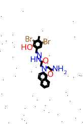 Cc1c(Br)cc(/C=N/NC(=O)CN(CC(N)=O)c2ccc3ccccc3c2)c(O)c1Br